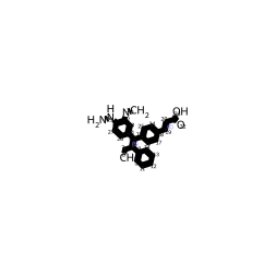 C=Nc1cc(/C(=C(\CC)c2ccccc2)c2ccc(/C=C/C(=O)O)cc2)ccc1NN